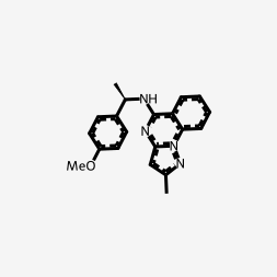 COc1ccc([C@@H](C)Nc2nc3cc(C)nn3c3ccccc23)cc1